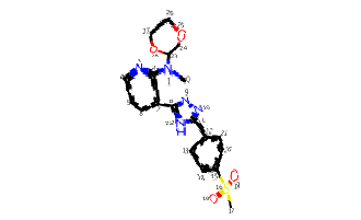 CN(c1ncccc1-c1nnc(-c2ccc(S(C)(=O)=O)cc2)[nH]1)C1COCCO1